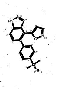 CC(C)(N)c1ccc(-c2ccc3[nH]ncc3c2-c2ccno2)cc1